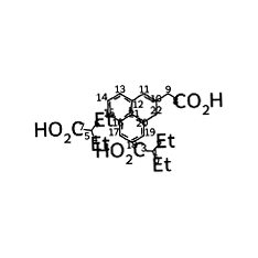 CCC(CC)C(=O)O.CCC(CC)C(=O)O.O=C(O)CC1=Cc2cccc3cccc(c23)C1